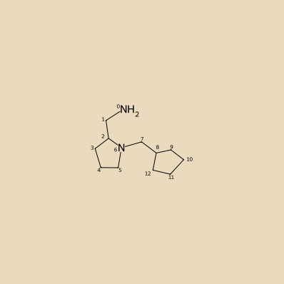 NCC1CCCN1CC1CCCC1